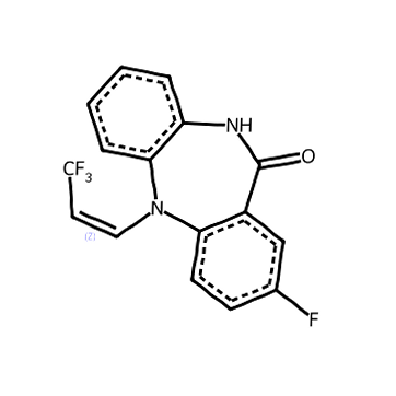 O=C1Nc2ccccc2N(/C=C\C(F)(F)F)c2ccc(F)cc21